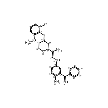 COc1cccc(F)c1CN1CCOC(/C(N)=C/Nc2ccc(N)c(C(=N)c3ccncc3)c2)C1